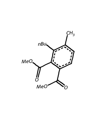 CCCCc1c(C)ccc(C(=O)OC)c1C(=O)OC